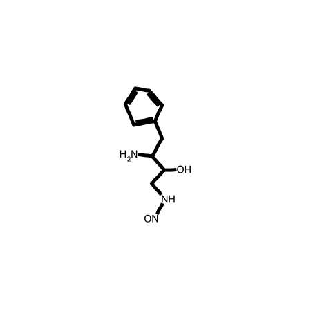 NC(Cc1ccccc1)C(O)CNN=O